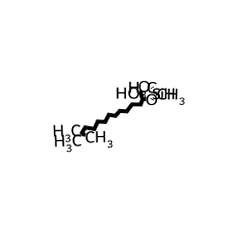 C[SiH](C)OC(CCCCCCCCCCC(C)(C)C)C(=O)O